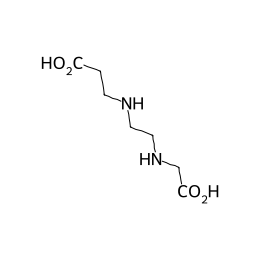 O=C(O)CCNCCNCC(=O)O